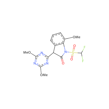 COc1nc(OC)nc(C2C(=O)N(S(=O)(=O)C(F)F)c3c(OC)cccc32)n1